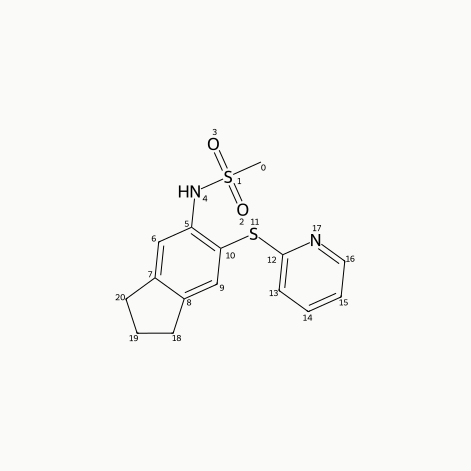 CS(=O)(=O)Nc1cc2c(cc1Sc1ccccn1)CCC2